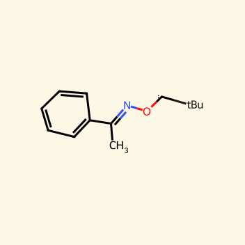 CC(=NO[C]C(C)(C)C)c1ccccc1